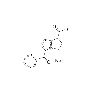 O=C(c1ccccc1)c1ccc2n1CCC2C(=O)[O-].[Na+]